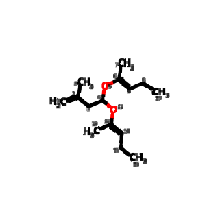 C=C(C)CC(OC(C)=CCC)OC(C)=CCC